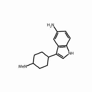 CNC1CCC(c2c[nH]c3ccc(N)cc23)CC1